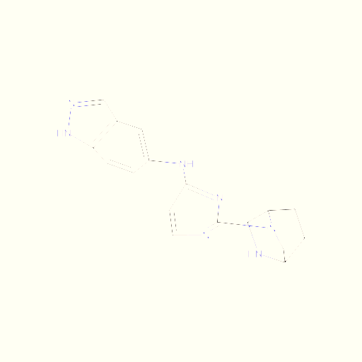 c1cc(Nc2ccc3[nH]ncc3c2)nc(N2CC3CCC2CN3)n1